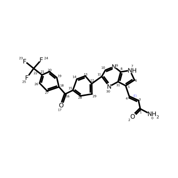 NC(=O)/C=C/c1c[nH]c2ncc(-c3ccc(C(=O)c4ccc(C(F)(F)F)cc4)cc3)nc12